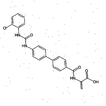 C=C(NC(=O)c1ccc(-c2ccc(NC(=O)Nc3ccccc3Cl)cc2)cc1)C(=O)O